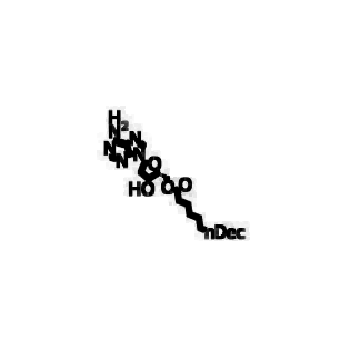 CCCCCCCCCCCCCCCC(=O)OC[C@H]1O[C@@H](n2cnc3c(N)ncnc32)CC1O